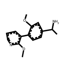 COc1cc(C(C)N)ccc1-c1cccnc1OC